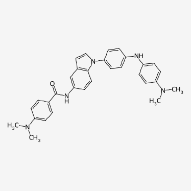 CN(C)c1ccc(Nc2ccc(-n3ccc4cc(NC(=O)c5ccc(N(C)C)cc5)ccc43)cc2)cc1